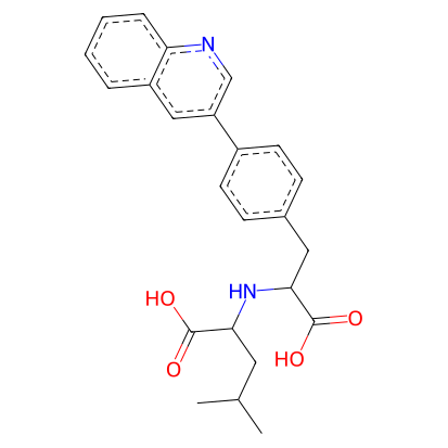 CC(C)CC(NC(Cc1ccc(-c2cnc3ccccc3c2)cc1)C(=O)O)C(=O)O